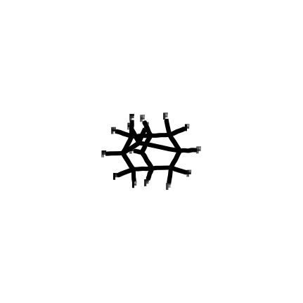 FC1C2(F)C(F)(F)C3(F)C(F)(F)C1(F)C(F)(F)C(F)(C2(F)F)C3(F)F